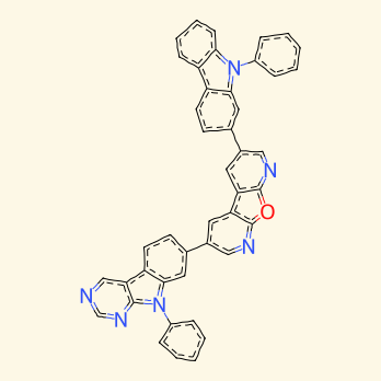 c1ccc(-n2c3ccccc3c3ccc(-c4cnc5oc6ncc(-c7ccc8c9cncnc9n(-c9ccccc9)c8c7)cc6c5c4)cc32)cc1